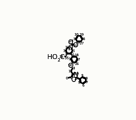 Cc1oc(-c2ccccc2)nc1CCOc1cccc([C@@H]2CN(C(=O)Oc3ccccc3)CC[C@@H]2CC(=O)O)c1